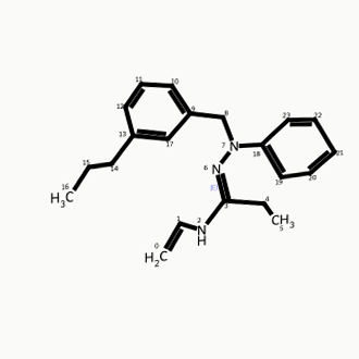 C=CN/C(CC)=N/N(Cc1cccc(CCC)c1)c1ccccc1